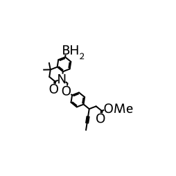 Bc1ccc2c(c1)C(C)(C)CC(=O)N2COc1ccc(C(C#CC)CC(=O)OC)cc1